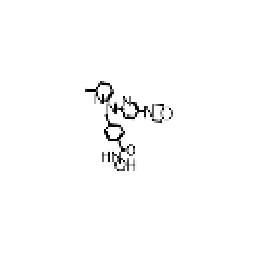 Cc1cccc(N(Cc2ccc(C(=O)NO)cc2)c2ccc(N3CCOCC3)cn2)n1